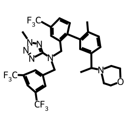 Cc1ccc(C(C)N2CCOCC2)cc1-c1ccc(C(F)(F)F)cc1CN(Cc1cc(C(F)(F)F)cc(C(F)(F)F)c1)c1nnn(C)n1